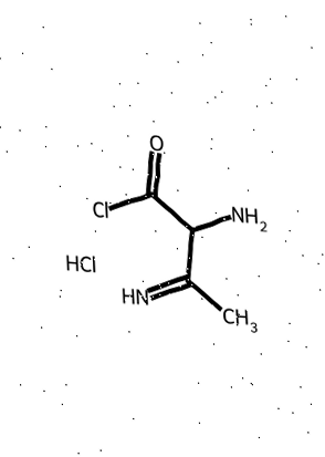 CC(=N)C(N)C(=O)Cl.Cl